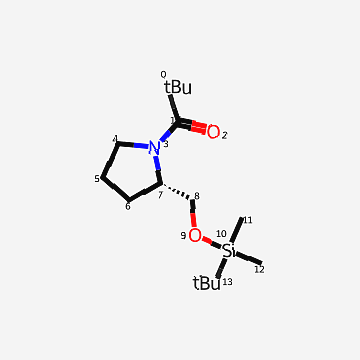 CC(C)(C)C(=O)N1CCC[C@H]1CO[Si](C)(C)C(C)(C)C